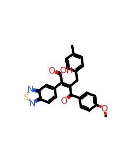 COc1ccc(C(=O)C(Cc2ccc(C)cc2)=C(C(=O)O)c2ccc3nsnc3c2)cc1